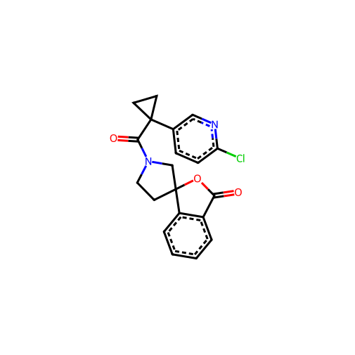 O=C1OC2(CCN(C(=O)C3(c4ccc(Cl)nc4)CC3)C2)c2ccccc21